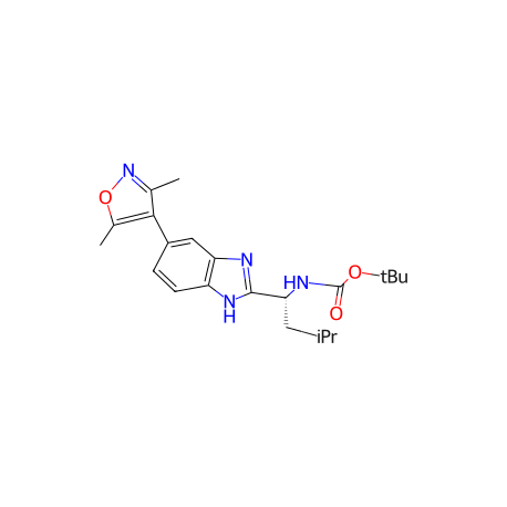 Cc1noc(C)c1-c1ccc2[nH]c([C@@H](CC(C)C)NC(=O)OC(C)(C)C)nc2c1